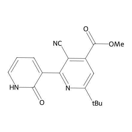 COC(=O)c1cc(C(C)(C)C)nc(-c2ccc[nH]c2=O)c1C#N